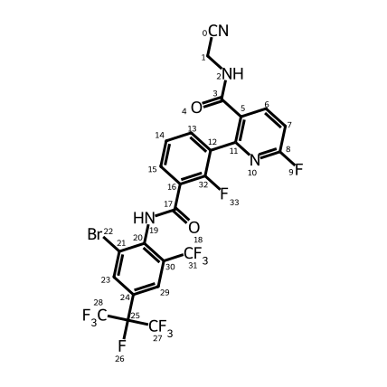 N#CCNC(=O)c1ccc(F)nc1-c1cccc(C(=O)Nc2c(Br)cc(C(F)(C(F)(F)F)C(F)(F)F)cc2C(F)(F)F)c1F